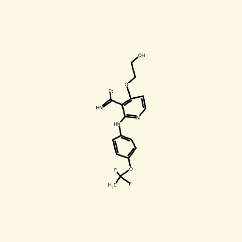 CCC(=N)c1c(OCCO)ccnc1Nc1ccc(OC(C)(F)F)cc1